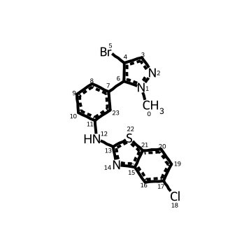 Cn1ncc(Br)c1-c1cccc(Nc2nc3cc(Cl)ccc3s2)c1